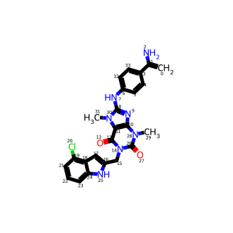 C=C(N)c1ccc(Nc2nc3c(c(=O)n(Cc4cc5c(Cl)cccc5[nH]4)c(=O)n3C)n2C)cc1